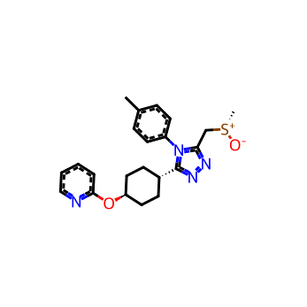 Cc1ccc(-n2c(C[S@+](C)[O-])nnc2[C@H]2CC[C@H](Oc3ccccn3)CC2)cc1